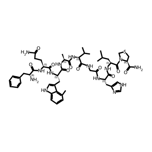 Cc1cccc2[nH]cc(C[C@H](NC(=O)[C@H](CCC(N)=O)NC(=O)[C@H](N)Cc3ccccc3)C(=O)N[C@@H](C)C(=O)N[C@H](C(=O)NCC(=O)N[C@@H](Cc3c[nH]cn3)C(=O)N[C@@H](CC(C)C)C(=O)N3CSC[C@H]3C(N)=O)C(C)C)c12